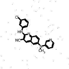 CN(c1cccnc1)c1ccc2nc(Nc3cccc(Cl)c3)c(C#N)cc2c1